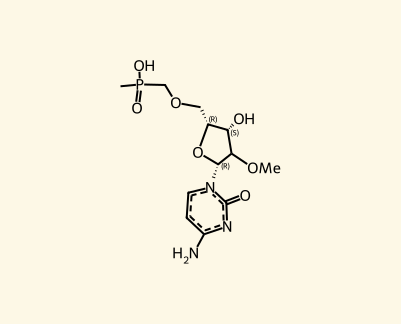 COC1[C@@H](O)[C@@H](COCP(C)(=O)O)O[C@H]1n1ccc(N)nc1=O